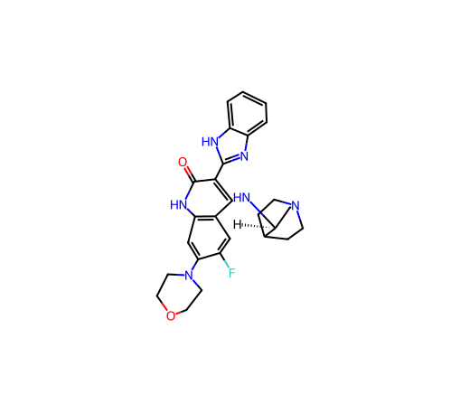 O=c1[nH]c2cc(N3CCOCC3)c(F)cc2c(N[C@H]2CN3CCC2CC3)c1-c1nc2ccccc2[nH]1